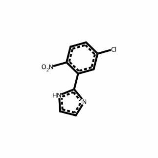 O=[N+]([O-])c1ccc(Cl)cc1-c1ncc[nH]1